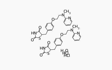 CN(CCOc1ccc(CC2SC(=O)NC2=O)cc1)c1ccccn1.CN(CCOc1ccc(CC2SC(=O)NC2=O)cc1)c1ccccn1.Cl.Cl.O